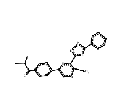 CN(C)C(=O)c1ccc(-c2cnc(N)c(-c3nnc(-c4ccccc4)o3)n2)cc1